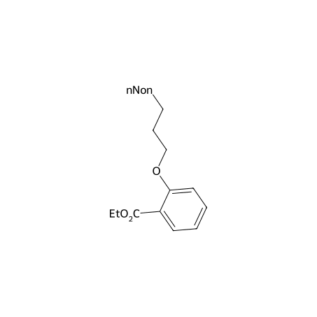 CCCCCCCCCCCCOc1ccccc1C(=O)OCC